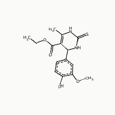 CCOC(=O)C1=C(C)NC(=S)NC1c1ccc(O)c(OC)c1